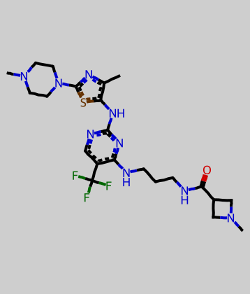 Cc1nc(N2CCN(C)CC2)sc1Nc1ncc(C(F)(F)F)c(NCCCNC(=O)C2CN(C)C2)n1